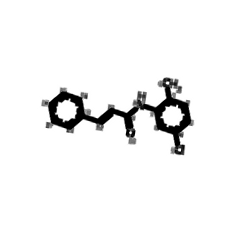 Cc1ccc(Cl)cc1NC(=O)/C=C/c1ccccc1